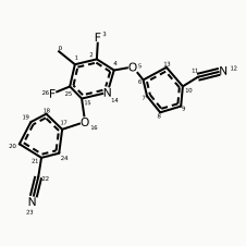 Cc1c(F)c(Oc2cccc(C#N)c2)nc(Oc2cccc(C#N)c2)c1F